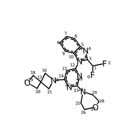 FC(F)c1nc2ccccc2n1-c1cc(N2CC3(COC3)C2)nc(N2CCOCC2)n1